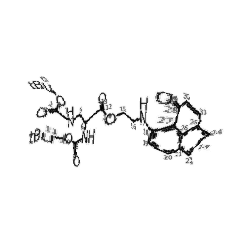 CC(C)(C)OC(=O)NCC(NC(=O)OC(C)(C)C)C(=O)OCCNc1ccc2cccc3c2c1C(=O)C=C3